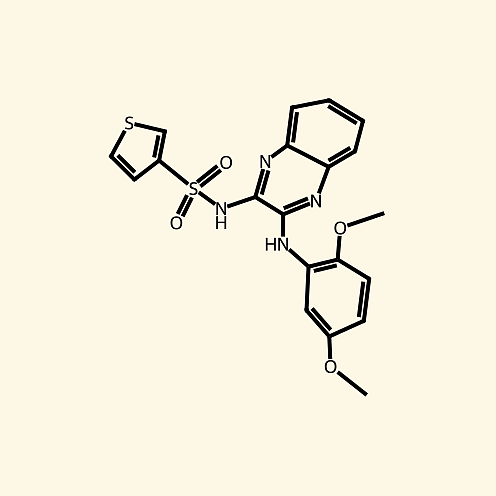 COc1ccc(OC)c(Nc2nc3ccccc3nc2NS(=O)(=O)c2ccsc2)c1